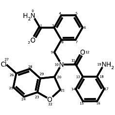 NC(=O)c1ccccc1CN(C(=O)c1ccccc1N)C1COc2ccc(Cl)cc21